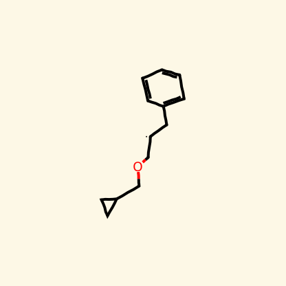 [CH](COCC1CC1)Cc1ccccc1